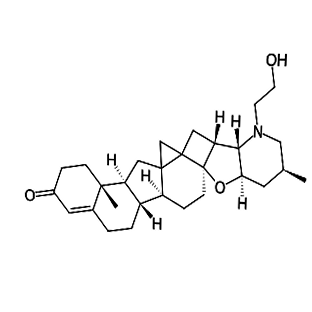 C[C@H]1C[C@H]2O[C@@]34CC[C@H]5[C@@H]6CCC7=CC(=O)CC[C@]7(C)[C@H]6CC56CC63C[C@@H]4[C@@H]2N(CCO)C1